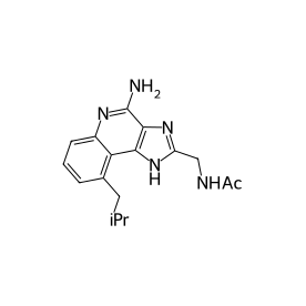 CC(=O)NCc1nc2c(N)nc3cccc(CC(C)C)c3c2[nH]1